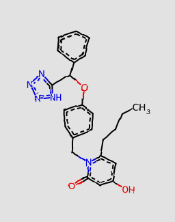 CCCCc1cc(O)cc(=O)n1Cc1ccc(OC(c2ccccc2)c2nnn[nH]2)cc1